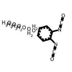 O.O.O.O.O.O.O=C=Nc1ccccc1N=C=O